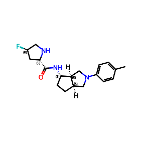 Cc1ccc(N2C[C@H]3CC[C@H](NC(=O)[C@@H]4C[C@@H](F)CN4)[C@H]3C2)cc1